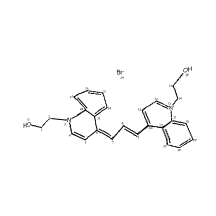 OCCN1C=C/C(=C/C=C/c2cc[n+](CCO)c3ccccc23)c2ccccc21.[Br-]